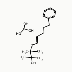 CC(C)(O)C(C)(C)OC=CCCCc1ccccc1.OB(O)O